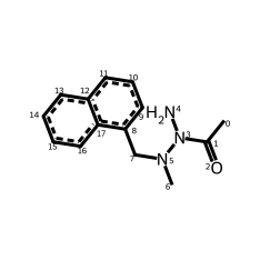 CC(=O)N(N)N(C)Cc1cccc2ccccc12